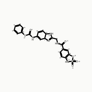 O=C(NC1=CC2N=C(CNC(=O)c3ccc4c(c3)OS(=O)(=O)N4)NC2C=C1)Oc1ccccc1